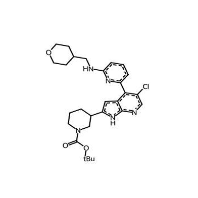 CC(C)(C)OC(=O)N1CCCC(c2cc3c(-c4cccc(NCC5CCOCC5)n4)c(Cl)cnc3[nH]2)C1